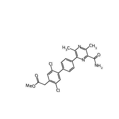 COC(=O)Cc1cc(Cl)c(-c2ccc(-c3nc(C(N)=O)c(C)nc3C)cc2)cc1Cl